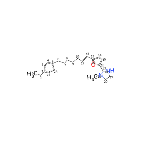 CCc1ccc(CCCCC/C=C/c2ccc(C3NCCN3C)o2)cc1